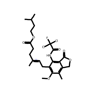 COc1c(C)c2c(c(NC(=O)C(F)(Cl)Cl)c1C/C=C(\C)CCC(=O)OCCC(C)C)C(=O)OC2